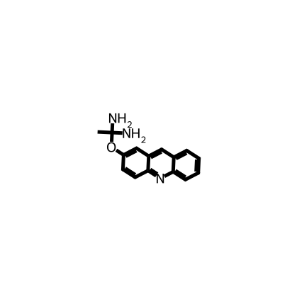 CC(N)(N)Oc1ccc2nc3ccccc3cc2c1